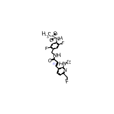 CCNc1nc(CF)ccc1/C=C/C(=O)NCc1cc(F)c(NS(C)(=O)=O)cc1F